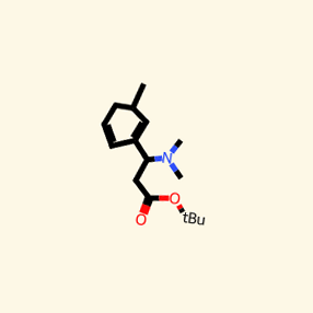 CC1C=C(C(CC(=O)OC(C)(C)C)N(C)C)C=CC1